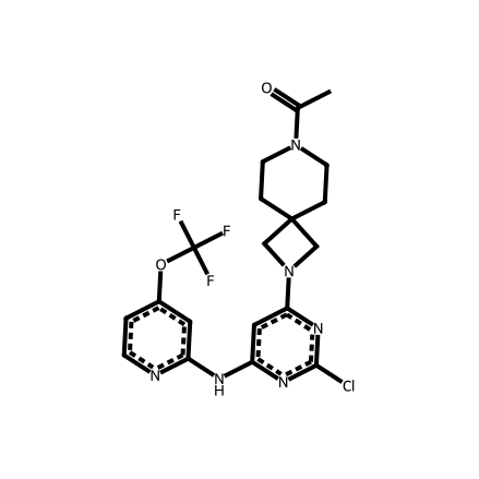 CC(=O)N1CCC2(CC1)CN(c1cc(Nc3cc(OC(F)(F)F)ccn3)nc(Cl)n1)C2